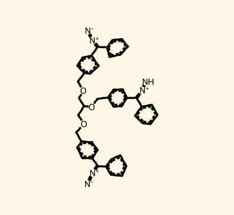 [N-]=[N+]=C(c1ccccc1)c1ccc(COCC(COCc2ccc(C(=[N+]=[N-])c3ccccc3)cc2)OCc2ccc(C(=[N+]=N)c3ccccc3)cc2)cc1